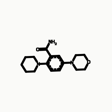 NC(=O)c1cc(N2CCOCC2)ccc1N1CCCCC1